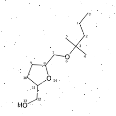 CCCC(C)(C)OCC1CCC(CO)O1